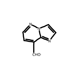 O=[C]c1ccnn2ccnc12